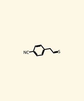 N#Cc1ccc(CC=S)cc1